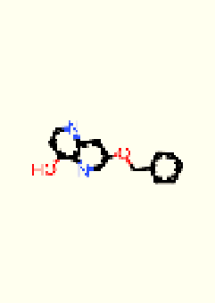 Oc1ccnc2cc(OCc3ccccc3)cnc12